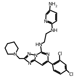 Nc1ccc(NCCNc2nc(-c3ccc(Cl)cc3Cl)cc3nc(CN4CCCCC4)nn23)nc1